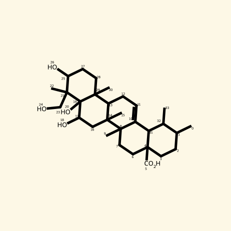 CC1CCC2(C(=O)O)CCC3(C)C(=CCC4C3(C)CC(O)C3(O)C(C)(CO)C(O)CCC43C)C2C1C